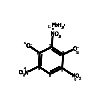 O=[N+]([O-])c1cc([N+](=O)[O-])c([O-])c([N+](=O)[O-])c1[O-].[PbH2]